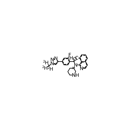 [2H]C([2H])([2H])n1cc(-c2ccc(C(=O)N(c3nccc4cccc(C)c34)[C@@H]3CCCNC3)c(F)c2)nn1